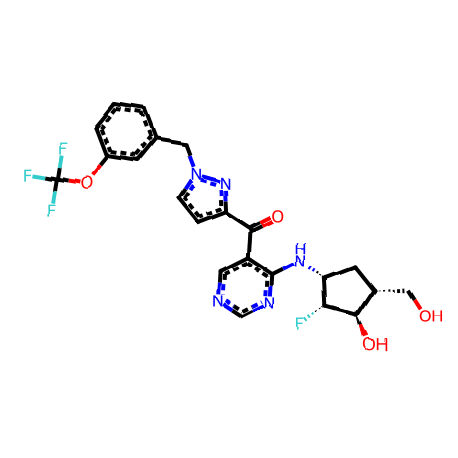 O=C(c1ccn(Cc2cccc(OC(F)(F)F)c2)n1)c1cncnc1N[C@@H]1C[C@H](CO)[C@@H](O)[C@@H]1F